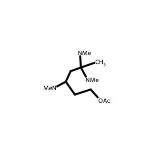 CNC(CCOC(C)=O)CC(C)(NC)NC